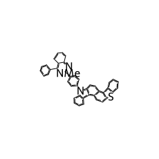 CN/C(=C1/C=CC=C/C1=N/Cc1ccc(-n2c3ccccc3c3c4ccc5sc6ccccc6c5c4ccc32)cc1)c1ccccc1